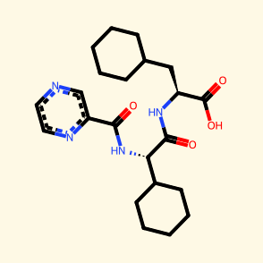 O=C(N[C@H](C(=O)N[C@@H](CC1CCCCC1)C(=O)O)C1CCCCC1)c1cnccn1